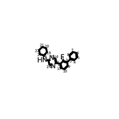 Fc1c(-c2ccccc2)cccc1-c1cnc(NC2CCCCC2)cn1